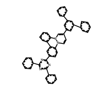 C1=CN2B(C=C1c1cc(-c3ccccc3)cc(-c3ccccc3)c1)c1ccccc1-c1cc(-c3nc(-c4ccccc4)nc(-c4ccccc4)n3)ccc12